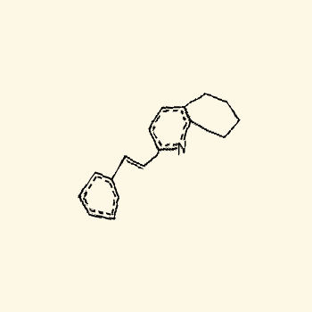 C(=Cc1ccc2c(n1)CCCC2)c1ccccc1